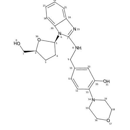 OC[C@@H]1CC[C@H](n2c(NCc3ccc(N4CCOCC4)c(O)c3)nc3ccccc32)O1